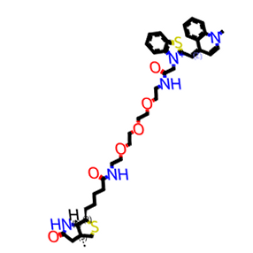 CN1C=C/C(=C/c2sc3ccccc3[n+]2CC(=O)NCCOCCOCCOCCNC(=O)CCCC[C@H]2SC[C@@]3(C)CC(=O)N[C@@H]23)c2ccccc21